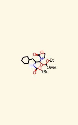 CCOC(OC)OC(C(CC1CCCCC1)NC(=O)OC(C)(C)C)N1CCOC1=O